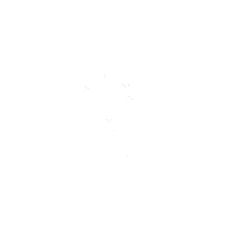 CC=C1C(NC2CCCCC2C)=C(C(N)=O)C(Cl)=NN1/C=C\C